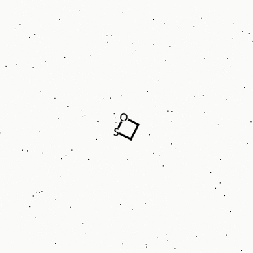 C1CSO1